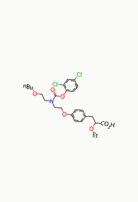 CCCCOCCN(CCOc1ccc(CC(OCC)C(=O)O)cc1)C(=O)Oc1ccc(Cl)cc1Cl